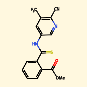 COC(=O)c1ccccc1C(=S)Nc1cnc(C#N)c(C(F)(F)F)c1